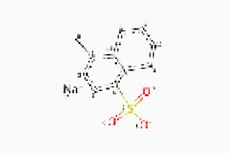 Cc1ccc(S(=O)(=O)[O-])c2ccccc12.[Na+]